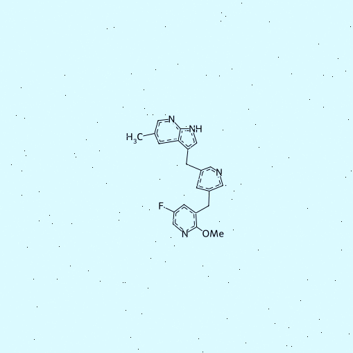 COc1ncc(F)cc1Cc1[c]ncc(Cc2c[nH]c3ncc(C)cc23)c1